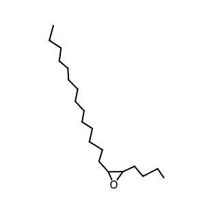 CCCCCCCCCCCCCCC1OC1CCCC